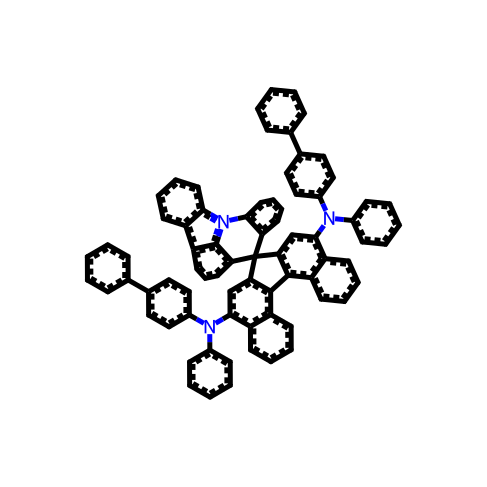 c1ccc(-c2ccc(N(c3ccccc3)c3cc4c(c5ccccc35)-c3c(cc(N(c5ccccc5)c5ccc(-c6ccccc6)cc5)c5ccccc35)C43c4ccccc4-n4c5ccccc5c5cccc3c54)cc2)cc1